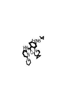 CC1(SNc2ccc(C(=O)Nc3cccc(N4CCCCC4)n3)c(N3CCC4(CC3)CC4)c2)CC1